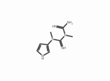 CN(C(=N)N)C(=N)N(C)c1cc[nH]c1